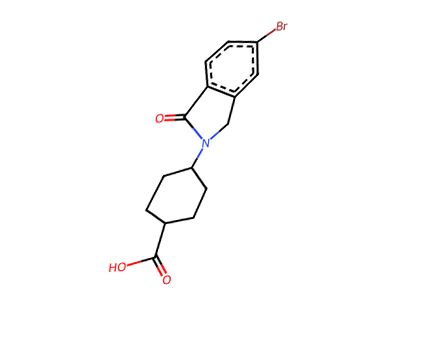 O=C(O)C1CCC(N2Cc3cc(Br)ccc3C2=O)CC1